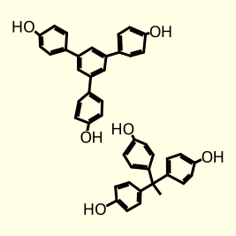 CC(c1ccc(O)cc1)(c1ccc(O)cc1)c1ccc(O)cc1.Oc1ccc(-c2cc(-c3ccc(O)cc3)cc(-c3ccc(O)cc3)c2)cc1